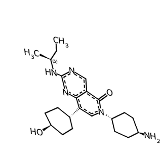 CC[C@H](C)Nc1ncc2c(=O)n([C@H]3CC[C@H](N)CC3)cc([C@H]3CC[C@H](O)CC3)c2n1